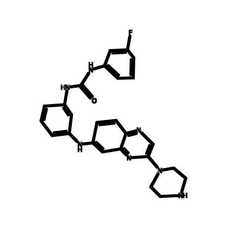 O=C(Nc1cccc(F)c1)Nc1cccc(Nc2ccc3ncc(N4CCNCC4)nc3c2)c1